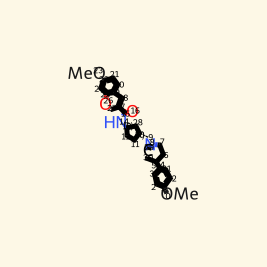 COc1ccc(C2CCN(C[C@@H]3CC[C@H](NC(=O)C4=Cc5ccc(OC)cc5OC4)C3)CC2)cc1